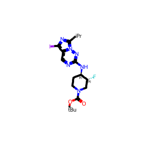 CC(C)c1nc(I)c2cnc(N[C@@H]3CCN(C(=O)OC(C)(C)C)C[C@H]3F)nn12